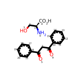 N[C@@H](CO)C(=O)O.O=C(CC(=O)c1ccccc1)c1ccccc1